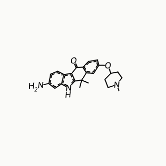 CN1CCC(Oc2ccc3c(c2)C(C)(C)c2[nH]c4cc(N)ccc4c2C3=O)CC1